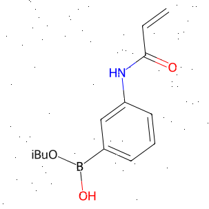 C=CC(=O)Nc1cccc(B(O)OCC(C)C)c1